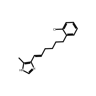 Cc1[nH]cnc1C=CCCCCc1ccccc1Cl